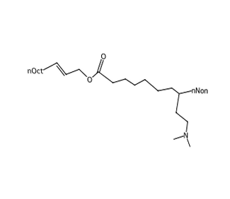 CCCCCCCCC=CCOC(=O)CCCCCCC(CCCCCCCCC)CCN(C)C